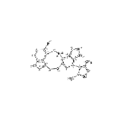 Cc1noc(C)c1-c1cc2c(n3cnnc13)NCc1c(F)ccc3c1[C@H](CO3)CO2